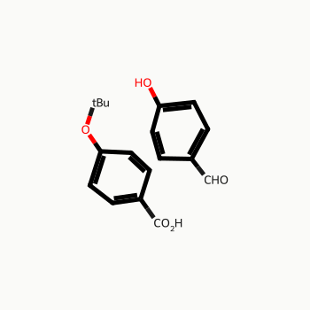 CC(C)(C)Oc1ccc(C(=O)O)cc1.O=Cc1ccc(O)cc1